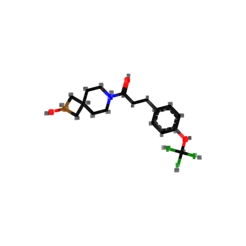 O=C(CCc1ccc(OC(F)(F)F)cc1)N1CCC2(CC1)C[S+]([O-])C2